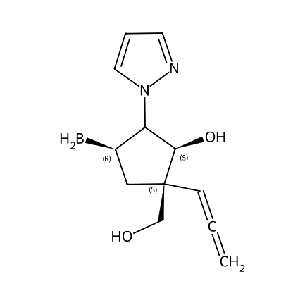 B[C@@H]1C[C@](C=C=C)(CO)[C@H](O)C1n1cccn1